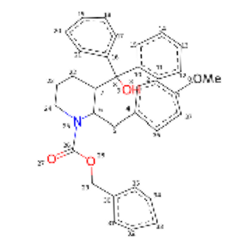 COc1ccc(CC2C(C(O)(c3ccccc3)c3ccccc3)CCCN2C(=O)OCc2ccccc2)cc1